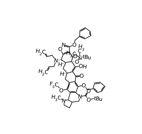 C=CCN(CC=C)[C@@H]1c2onc(OCc3ccccc3)c2C(=O)[C@@]2(O[Si](C)(C)C(C)(C)C)C(O)=C3C(=O)c4c(c(OC(F)(F)F)c5c(c4OCc4ccccc4)N(C(=O)OC(C)(C)C)CC4CCN(C)C54)C[C@H]3C[C@@H]12